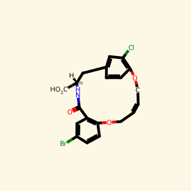 O=C1N[C@H](C(=O)O)Cc2ccc(c(Cl)c2)OCC=CCOc2ccc(Br)cc21